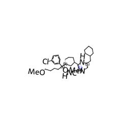 CNC[C@H](CC1CCCCC1)N/C(=N/C#N)C1CCC[C@@H]([C@@](O)(CCCCOC)c2cccc(Cl)c2)C1